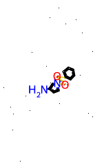 Nc1ccn(S(=O)(=O)c2ccccc2)c1